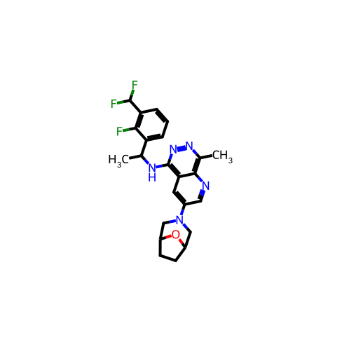 Cc1nnc(NC(C)c2cccc(C(F)F)c2F)c2cc(N3CC4CCC(C3)O4)cnc12